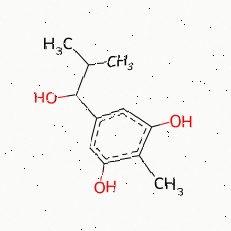 Cc1c(O)cc(C(O)C(C)C)cc1O